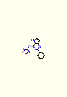 c1ccc(-c2nc(Nc3ncon3)c3[nH]ccc3n2)cc1